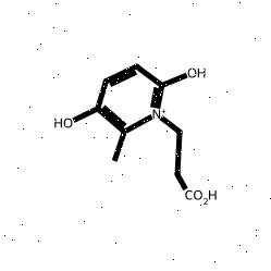 Cc1c(O)ccc(O)[n+]1CCC(=O)O